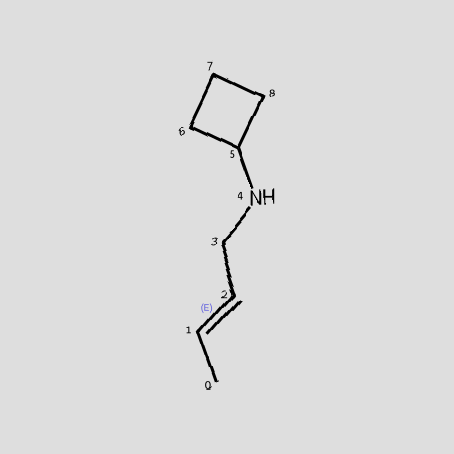 C/C=C/CNC1CCC1